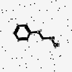 OBCOc1[c]cccc1